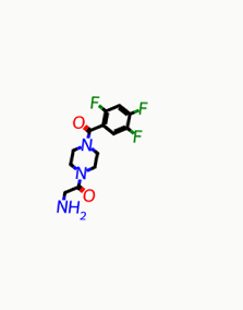 NCC(=O)N1CCN(C(=O)c2cc(F)c(F)cc2F)CC1